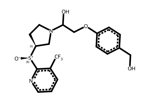 [O-][S@+](c1ncccc1C(F)(F)F)[C@H]1CCN(C(O)COc2ccc(CO)cc2)C1